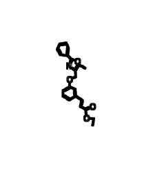 CCOC(=O)/C=C/c1cccc(OCc2nc(-c3ccccc3)oc2C)c1